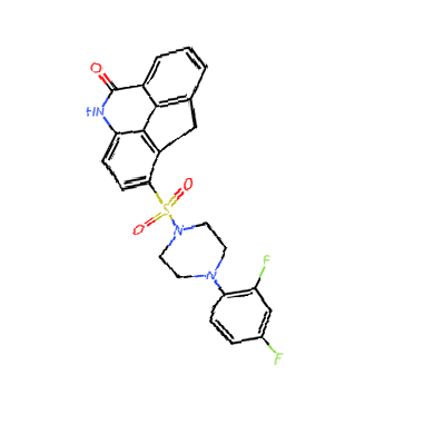 O=c1[nH]c2ccc(S(=O)(=O)N3CCN(c4ccc(F)cc4F)CC3)c3c2c2c(cccc12)C3